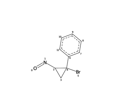 O=NC1CC1(Br)c1cc[c]cc1